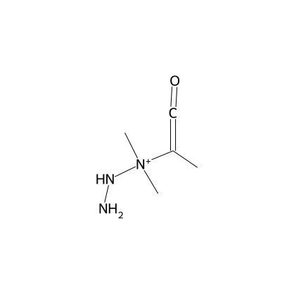 CC(=C=O)[N+](C)(C)NN